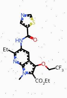 CCOC(=O)c1c(OCC(F)(F)F)c2cc(NC(=O)c3cncs3)c(CC)nc2n1C